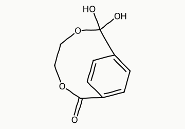 O=C1OCCOC(O)(O)c2ccc1cc2